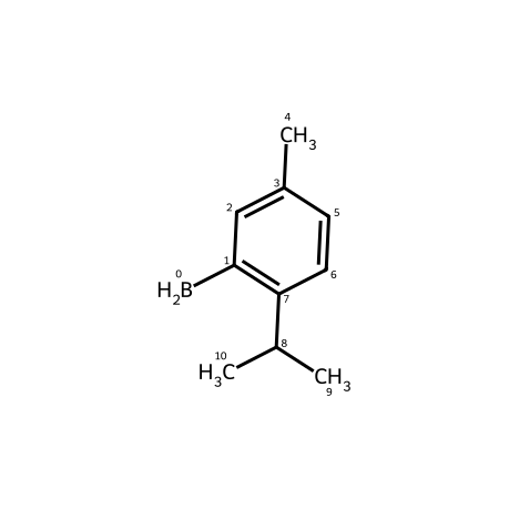 Bc1cc(C)ccc1C(C)C